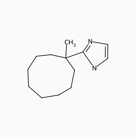 CC1(C2=NC=C[N]2)CCCCCCCC1